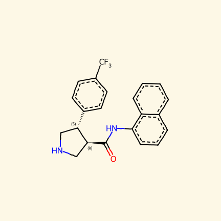 O=C(Nc1cccc2ccccc12)[C@H]1CNC[C@@H]1c1ccc(C(F)(F)F)cc1